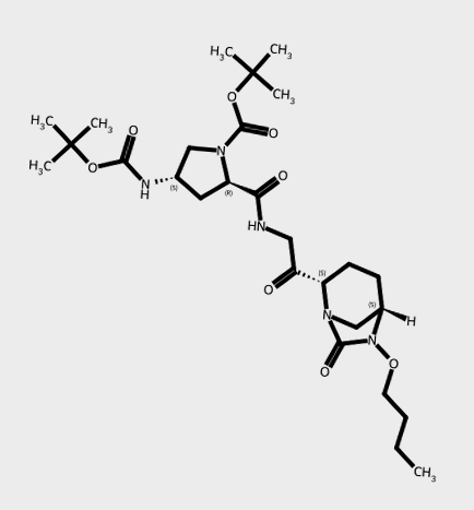 CCCCON1C(=O)N2C[C@@H]1CC[C@H]2C(=O)CNC(=O)[C@H]1C[C@H](NC(=O)OC(C)(C)C)CN1C(=O)OC(C)(C)C